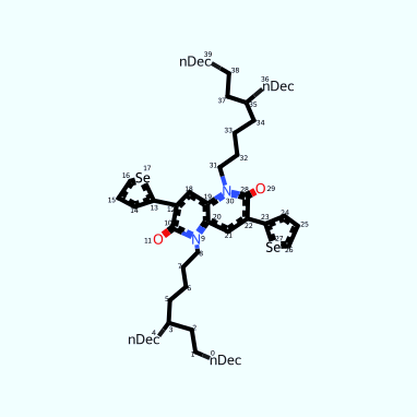 CCCCCCCCCCCCC(CCCCCCCCCC)CCCCn1c(=O)c(-c2ccc[se]2)cc2c1cc(-c1ccc[se]1)c(=O)n2CCCCC(CCCCCCCCCC)CCCCCCCCCCCC